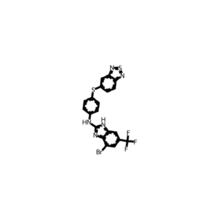 FC(F)(F)c1cc(Br)c2nc(Nc3ccc(Sc4ccc5nsnc5c4)cc3)[nH]c2c1